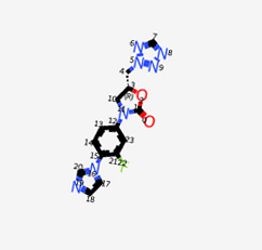 O=C1O[C@@H](Cn2ncnn2)CN1c1ccc(-n2ccnc2)c(F)c1